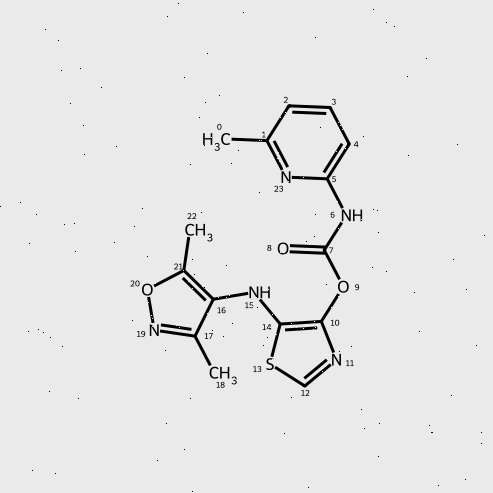 Cc1cccc(NC(=O)Oc2ncsc2Nc2c(C)noc2C)n1